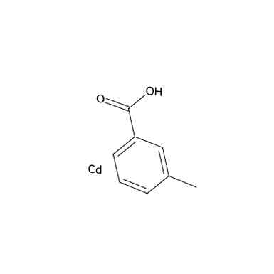 Cc1cccc(C(=O)O)c1.[Cd]